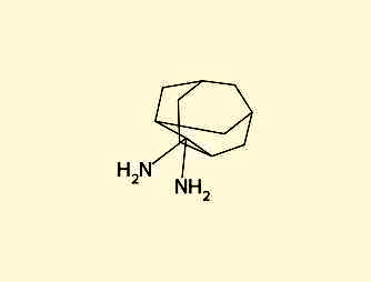 NC1(N)C2CCC3CC(C2)CC1C3